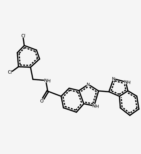 O=C(NCc1ccc(Cl)cc1Cl)c1ccc2[nH]c(-c3n[nH]c4ccccc34)nc2c1